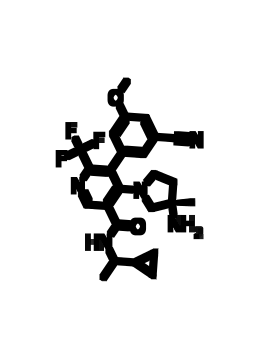 COc1cc(C#N)cc(-c2c(C(F)(F)F)ncc(C(=O)NC(C)C3CC3)c2N2CC[C@](C)(N)C2)c1